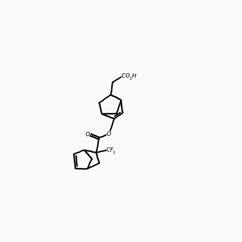 O=C(O)CC1CC2CC1C=C2OC(=O)C1(C(F)(F)F)CC2C=CC1C2